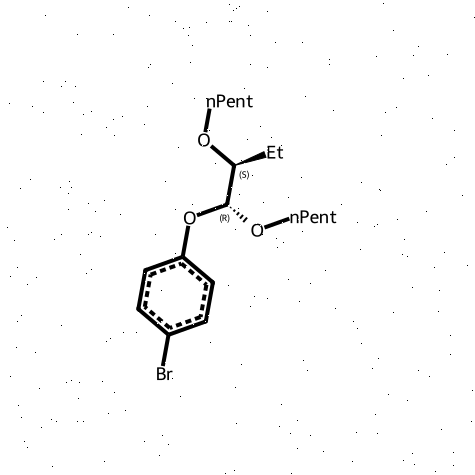 CCCCCO[C@H](Oc1ccc(Br)cc1)[C@H](CC)OCCCCC